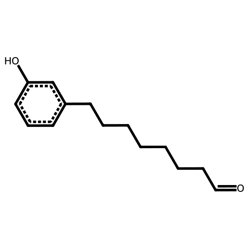 O=CCCCCCCCc1cccc(O)c1